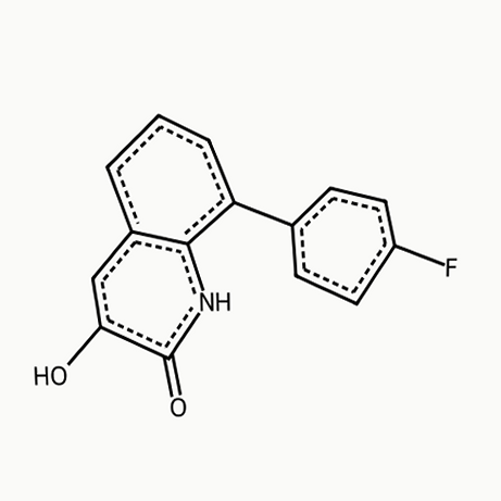 O=c1[nH]c2c(-c3ccc(F)cc3)cccc2cc1O